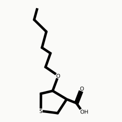 CCCCCCOC1CSCC1C(=O)O